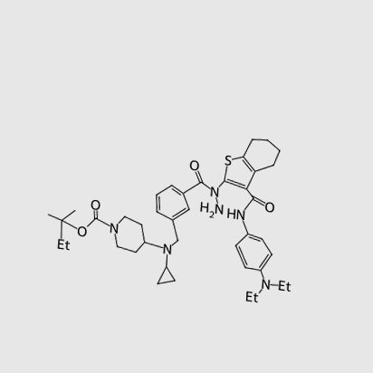 CCN(CC)c1ccc(NC(=O)c2c(N(N)C(=O)c3cccc(CN(C4CC4)C4CCN(C(=O)OC(C)(C)CC)CC4)c3)sc3c2CCCC3)cc1